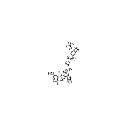 C#Cc1c(F)ccc2cc(O)cc(-c3ncc4c(N5CC6CCC(C5)N6)nc(OCC5(CN6CCC(C(=O)Nc7ccc8c(C9CCC(=O)NC9=O)nn(C)c8c7)CC6)CC5)nc4c3F)c12